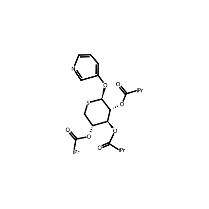 CC(C)C(=O)O[C@@H]1[C@@H](OC(=O)C(C)C)[C@H](OC(=O)C(C)C)CS[C@H]1Oc1cccnc1